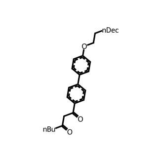 CCCCCCCCCCCCOc1ccc(-c2ccc(C(=O)CC(=O)CCCC)cc2)cc1